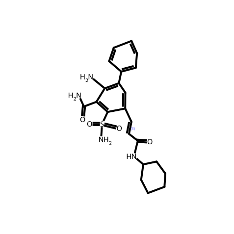 NC(=O)c1c(N)c(-c2ccccc2)cc(/C=C/C(=O)NC2CCCCC2)c1S(N)(=O)=O